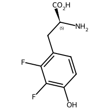 N[C@@H](Cc1ccc(O)c(F)c1F)C(=O)O